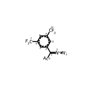 CC(=O)C(=[N+]=[N-])c1cc(C(F)(F)F)cc(C(F)(F)F)c1